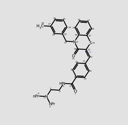 CCCN(CCC)CCNC(=O)c1ccc(/C=C2/Sc3ccccc3N(Cc3cccc(C)c3)C2=O)cc1